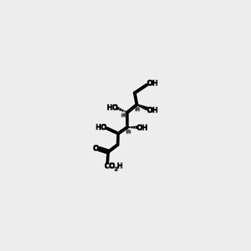 O=C(O)C(=O)CC(O)[C@@H](O)[C@H](O)[C@H](O)CO